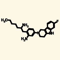 CCCCCC(N)Cc1ccc(N2CCc3[nH]c4cc(F)ccc4c3C2)cc1N